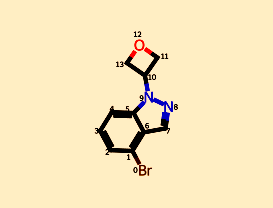 Brc1cccc2c1cnn2C1COC1